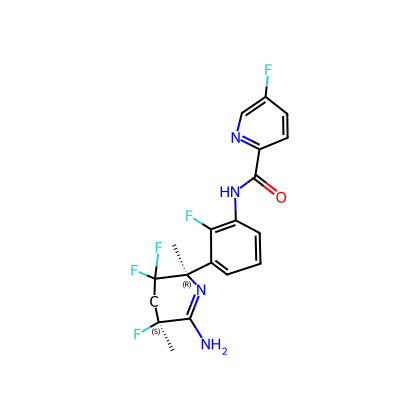 C[C@]1(F)CC(F)(F)[C@@](C)(c2cccc(NC(=O)c3ccc(F)cn3)c2F)N=C1N